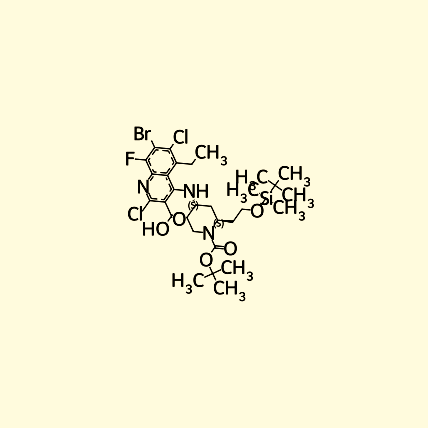 CCc1c(Cl)c(Br)c(F)c2nc(Cl)c(C(=O)O)c(N[C@H]3CCN(C(=O)OC(C)(C)C)[C@H](CCO[Si](C)(C)C(C)(C)C)C3)c12